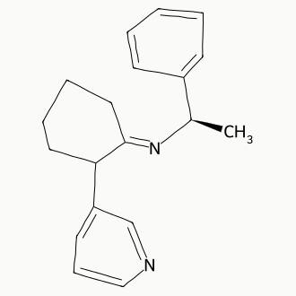 C[C@@H](/N=C1\CCCCC1c1cccnc1)c1ccccc1